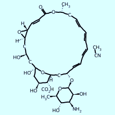 CC#N.C[C@@H]1C/C=C/C=C/C=C/C=C/[C@H](O[C@@H]2O[C@H](C)[C@@H](O)[C@H](N)[C@@H]2O)C[C@@H]2O[C@](O)(C[C@@H](O)C[C@H]3O[C@@H]3/C=C/C(=O)O1)C[C@H](O)[C@H]2C(=O)O